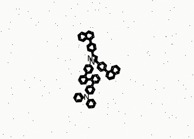 c1ccc(N(c2ccccc2)c2ccc(-c3ccccc3-c3ccccc3-c3ccc(-n4nc(-c5ccc(-c6cccc7ccccc67)cc5)cc4-c4ccc(-c5cccc6ccccc56)cc4)cc3)cc2)cc1